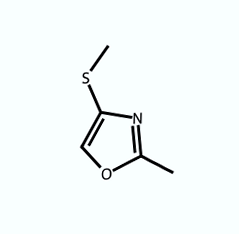 CSc1coc(C)n1